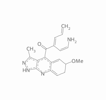 C=C/C=C(\C=C/N)C(=O)c1c2c(nc3[nH]nc(C)c13)=CCC(OC)C=2